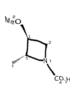 CO[C@H]1CN(C(=O)O)[C@@H]1C